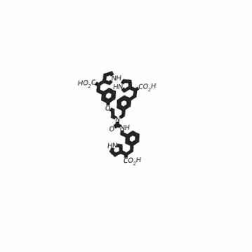 O=C(O)C(Cc1cccc(CNC(=O)N(CCOc2cccc(CC(C(=O)O)C3CCNC3)c2)Cc2cccc(CC(C(=O)O)C3CCNC3)c2)c1)C1CCNC1